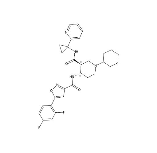 O=C(N[C@H]1CCN(C2CCCCC2)C[C@@H]1C(=O)NC1(c2ccccn2)CC1)c1cc(-c2ccc(F)cc2F)on1